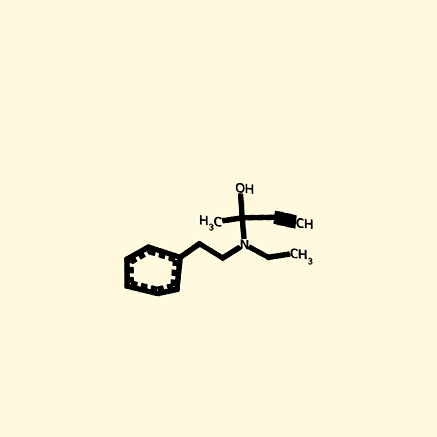 C#CC(C)(O)N(CC)CCc1ccccc1